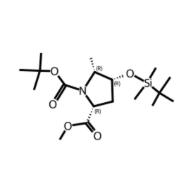 COC(=O)[C@H]1C[C@@H](O[Si](C)(C)C(C)(C)C)[C@@H](C)N1C(=O)OC(C)(C)C